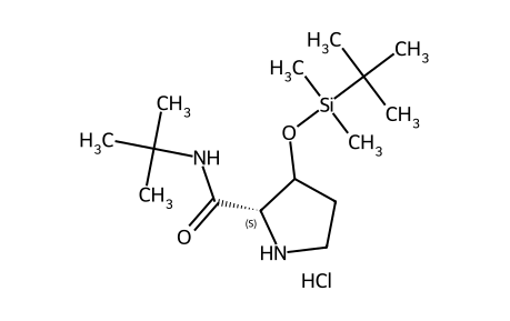 CC(C)(C)NC(=O)[C@H]1NCCC1O[Si](C)(C)C(C)(C)C.Cl